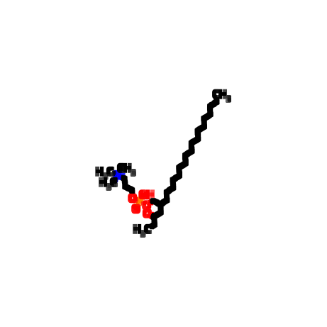 CCCCCCCCCCCCCCCCCCC(COP(=O)(O)OCCC[N+](C)(C)C)CC(=O)CC